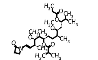 CCC(=O)O[C@@H](C[C@H](OC)[C@@H](C)CC[C@@H](OC(=O)C(C)C)[C@H](C)[C@H](OC)[C@H](C)/C=C/N1CCC1=O)C(C)C